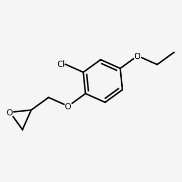 CCOc1ccc(OCC2CO2)c(Cl)c1